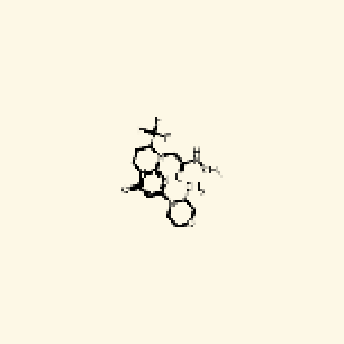 CNC(=O)CN1c2nc(N3CCOC[C@H]3C)cc(=O)n2CC[C@H]1C(F)(F)F